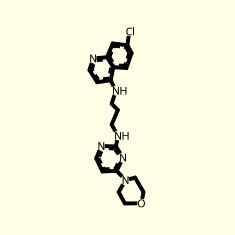 Clc1ccc2c(NCCCNc3nccc(N4CCOCC4)n3)ccnc2c1